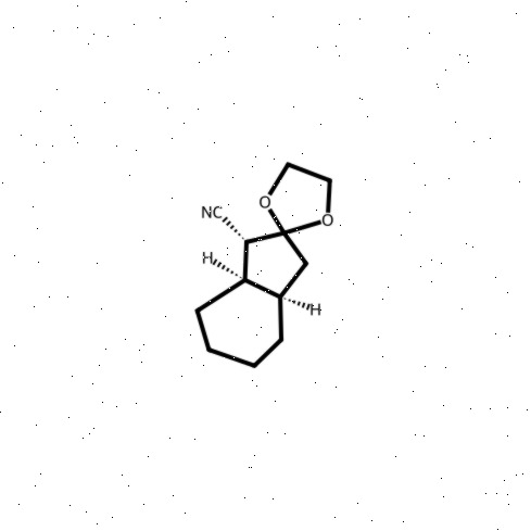 N#C[C@H]1[C@@H]2CCCC[C@@H]2CC12OCCO2